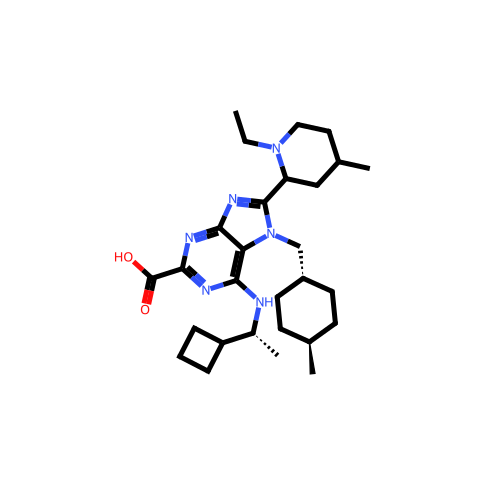 CCN1CCC(C)CC1c1nc2nc(C(=O)O)nc(N[C@H](C)C3CCC3)c2n1C[C@H]1CC[C@H](C)CC1